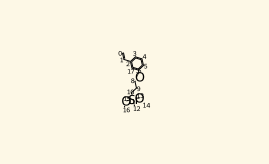 C=Cc1cccc(OCCC[Si](C)(OC)OC)c1